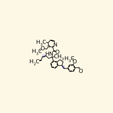 C=C/C=C\CC(C)(NC(=O)C1=NC=CC(C)[C@@H]1COC)c1cccc2c1CC/C2=C\c1ccc(C=O)c(OC)c1